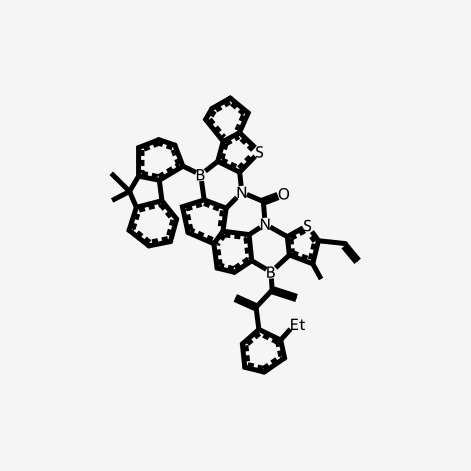 C=Cc1sc2c(c1C)B(C(=C)C(=C)c1ccccc1CC)c1ccc3ccc4c5c3c1N2C(=O)N5c1sc2ccccc2c1B4c1cccc2c1-c1ccccc1C2(C)C